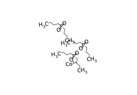 CCCCP(=O)([O-])CCCC.CCCCP(=O)([O-])CCCC.CCCCP(=O)([O-])CCCC.[Co+3]